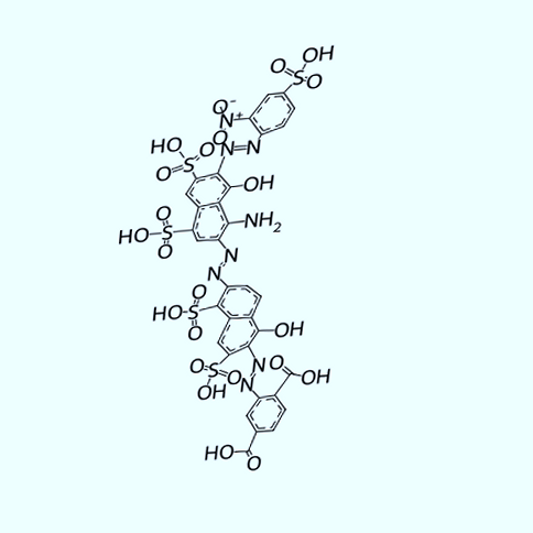 Nc1c(N=Nc2ccc3c(O)c(N=Nc4cc(C(=O)O)ccc4C(=O)O)c(S(=O)(=O)O)cc3c2S(=O)(=O)O)cc(S(=O)(=O)O)c2cc(S(=O)(=O)O)c(N=Nc3ccc(S(=O)(=O)O)cc3[N+](=O)[O-])c(O)c12